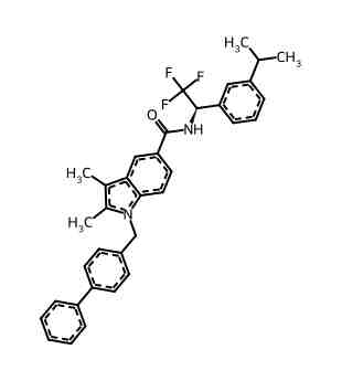 Cc1c(C)n(Cc2ccc(-c3ccccc3)cc2)c2ccc(C(=O)N[C@H](c3cccc(C(C)C)c3)C(F)(F)F)cc12